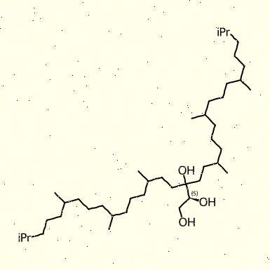 CC(C)CCCC(C)CCCC(C)CCCC(C)CCC(O)(CCC(C)CCCC(C)CCCC(C)CCCC(C)C)[C@@H](O)CO